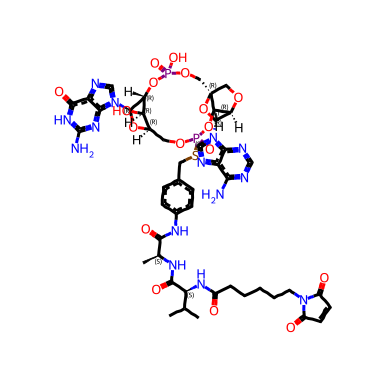 CC(C)[C@H](NC(=O)CCCCCN1C(=O)C=CC1=O)C(=O)N[C@@H](C)C(=O)Nc1ccc(CS[P@@]2(=O)OC[C@H]3O[C@@H](n4cnc5c(=O)[nH]c(N)nc54)[C@H](OP(=O)(O)OC[C@@]45CO[C@@H]([C@H](n6cnc7c(N)ncnc76)O4)[C@@H]5O2)[C@@H]3O)cc1